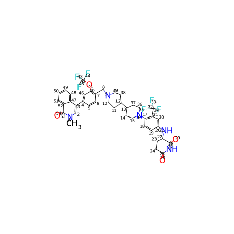 Cn1cc(-c2ccc(CN3CCC(C4CCN(c5ccc(NC6CCC(=O)NC6=O)cc5C(F)(F)F)CC4)CC3)c(OC(F)(F)F)c2)c2ccccc2c1=O